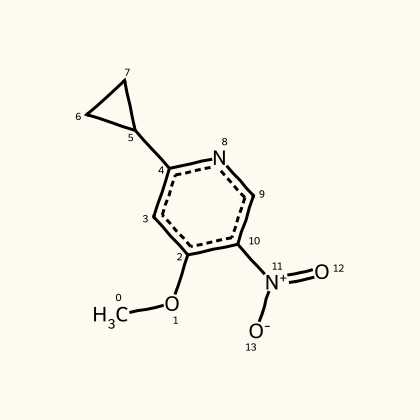 COc1cc(C2CC2)ncc1[N+](=O)[O-]